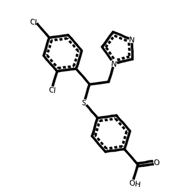 O=C(O)c1ccc(SC(Cn2ccnc2)c2ccc(Cl)cc2Cl)cc1